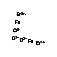 [Er+3].[Er+3].[Fe].[Fe].[O-2].[O-2].[O-2]